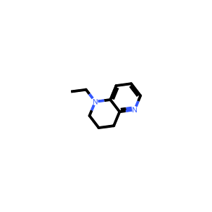 CCN1CCCc2ncccc21